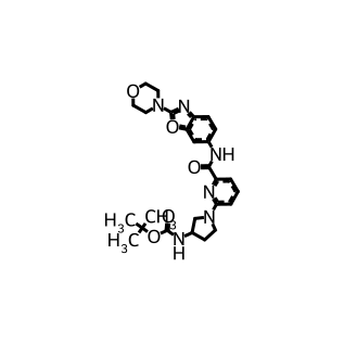 CC(C)(C)OC(=O)NC1CCN(c2cccc(C(=O)Nc3ccc4nc(N5CCOCC5)oc4c3)n2)C1